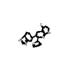 O=c1cc[nH]c2nc(-c3ccco3)c(-c3ccc4[nH]cnc4c3)cc12